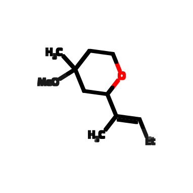 CCC=C(C)C1CC(C)(OC)CCO1